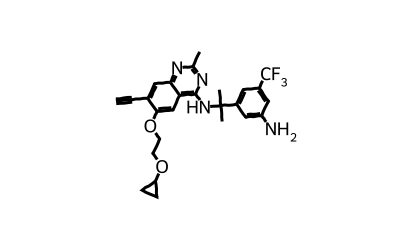 C#Cc1cc2nc(C)nc(NC(C)(C)c3cc(N)cc(C(F)(F)F)c3)c2cc1OCCOC1CC1